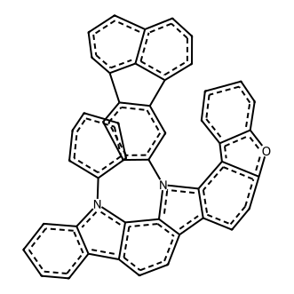 c1ccc(-n2c3ccccc3c3ccc4c5ccc6oc7ccccc7c6c5n(-c5ccc6c(c5)-c5cccc7cccc-6c57)c4c32)cc1